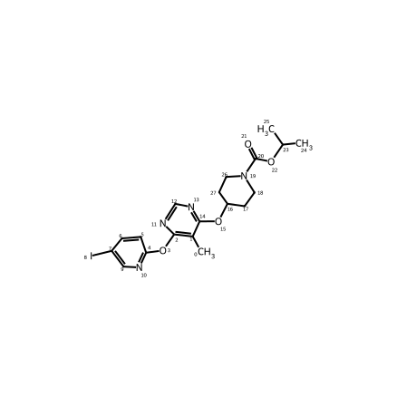 Cc1c(Oc2ccc(I)cn2)ncnc1OC1CCN(C(=O)OC(C)C)CC1